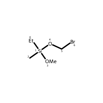 CC[Si](C)(OC)OCBr